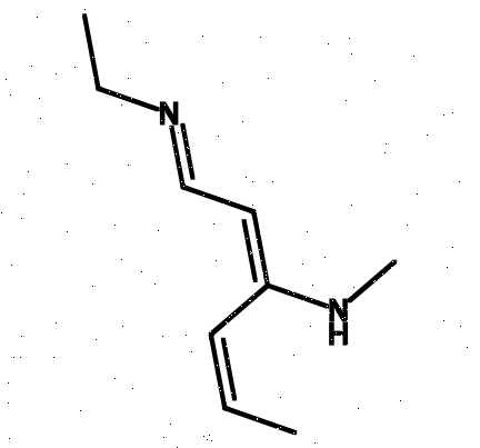 C\C=C/C(=C\C=N\CC)NC